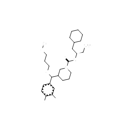 CCOCCCOC(c1ccc(F)c(F)c1)C1CCCN(C(=O)N[C@H](CNC)CC2CCCCC2)C1